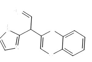 C=CC(C1=COc2ccccc2O1)c1ncc[nH]1